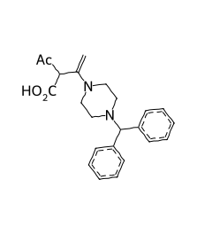 C=C(C(C(C)=O)C(=O)O)N1CCN(C(c2ccccc2)c2ccccc2)CC1